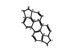 C1=CC2SSc3ccc4c(c1c1c5c6c(ccc54)SSC6C=C1)c32